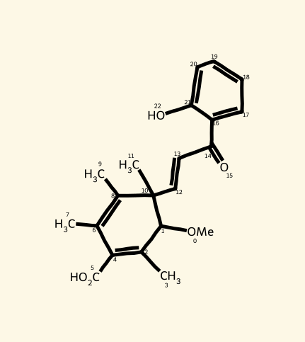 COC1C(C)=C(C(=O)O)C(C)=C(C)C1(C)C=CC(=O)c1ccccc1O